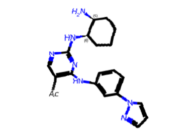 CC(=O)c1cnc(N[C@@H]2CCCC[C@@H]2N)nc1Nc1cccc(-n2cccn2)c1